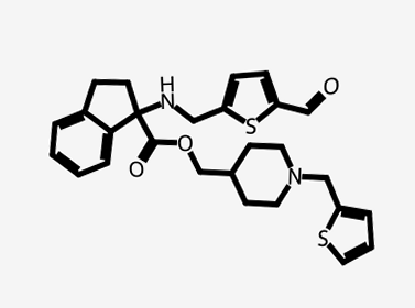 O=Cc1ccc(CNC2(C(=O)OCC3CCN(Cc4cccs4)CC3)CCc3ccccc32)s1